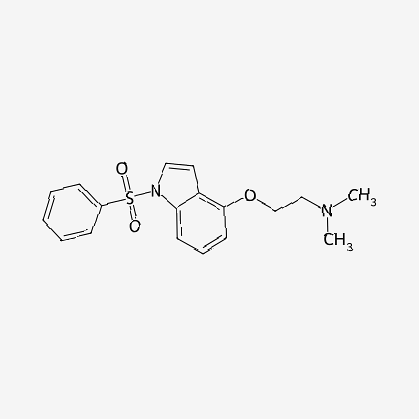 CN(C)CCOc1cccc2c1ccn2S(=O)(=O)c1ccccc1